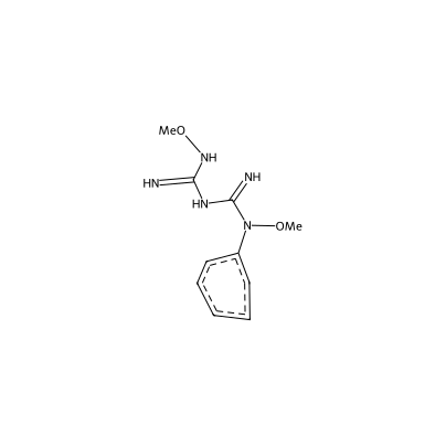 CONC(=N)NC(=N)N(OC)c1ccccc1